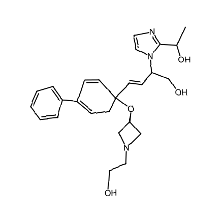 CC(O)c1nccn1C(/C=C/C1(OC2CN(CCO)C2)C=CC(c2ccccc2)=CC1)CO